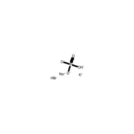 Br.O=P([O-])([O-])O.[K+].[Na+]